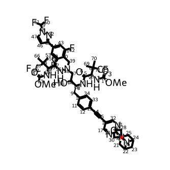 COC(=O)N[C@H](C(=O)N[C@@H](Cc1ccc(C#Cc2cnc(N3CC4CC(C3)N4C3COC3)nc2)cc1)[C@@H](O)CN(Cc1c(F)cc(-c2ccn(C(F)F)n2)cc1F)NC(=O)[C@@H](NC(=O)OC)C(C)(C)C(F)(F)F)C(C)(C)C(F)(F)F